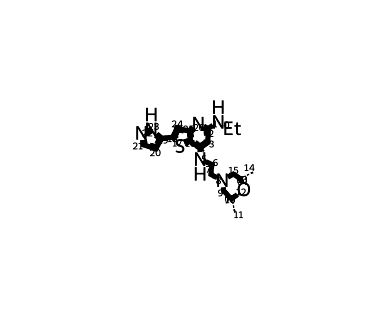 CCNc1cc(NCCN2C[C@@H](C)O[C@@H](C)C2)c2sc(-c3ccn[nH]3)cc2n1